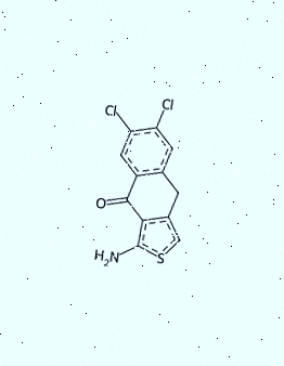 Nc1scc2c1C(=O)c1cc(Cl)c(Cl)cc1C2